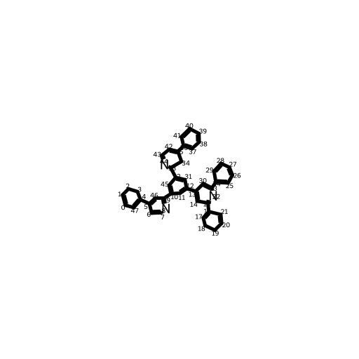 C1=CCCC(c2ccnc(-c3cc(-c4cc(C5=CCCC=C5)nc(-c5ccccc5)c4)cc(C4CC(c5ccccc5)=CC=N4)c3)c2)=C1